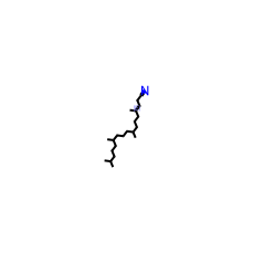 C/C(=C\CC#N)CCCC(C)CCCC(C)CCCC(C)C